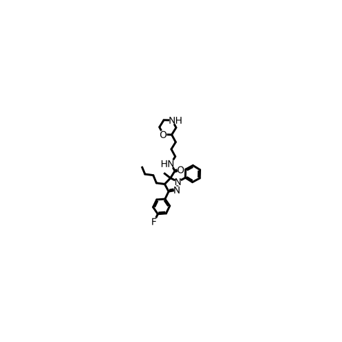 CCCCC1C(c2ccc(F)cc2)=NN(c2ccccc2)C1(C)C(=O)NCCCC1CNCCO1